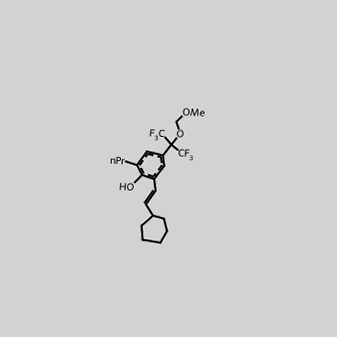 CCCc1cc(C(OCOC)(C(F)(F)F)C(F)(F)F)cc(/C=C/C2CCCCC2)c1O